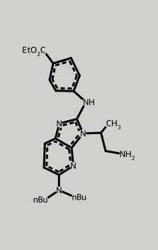 CCCCN(CCCC)c1ccc2nc(Nc3ccc(C(=O)OCC)cc3)n(C(C)CN)c2n1